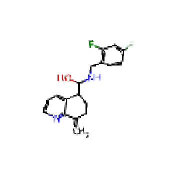 C=C1CCC(C(O)NCc2ccc(F)cc2F)c2cccnc21